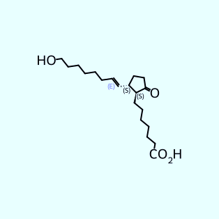 O=C(O)CCCCCC[C@@H]1C(=O)CC[C@H]1/C=C/CCCCCCO